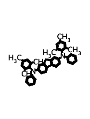 Cc1cc(C)c(N(c2ccccc2)c2ccc3c(c2)Cc2cc(N(c4ccccc4)c4c(C)cc(C)cc4C)ccc2-3)c(C)c1